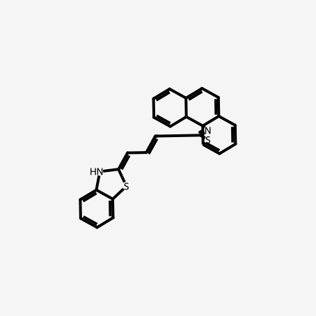 C1=CC2=CC=C3C=CC=C4SC(C=CC=C5Nc6ccccc6S5)=NC34C2C=C1